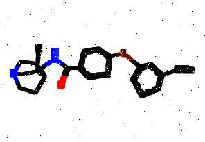 COc1cccc(Sc2ccc(C(=O)N[C@H]3CN4CCC3CC4)cc2)c1